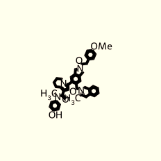 COc1ccc(CC(=O)N2Cc3cc(C(=O)N4Cc5ccccc5C[C@H]4C)c(-c4cc(C(=O)N(C)c5ccc(O)cc5)c5n4CCCC5)cc3C2)cc1